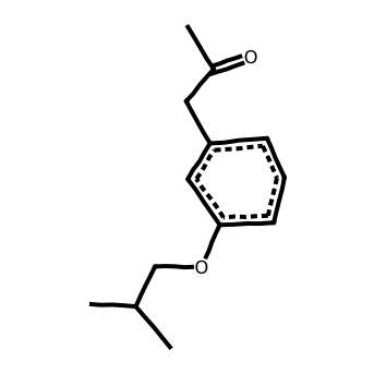 CC(=O)Cc1cccc(OCC(C)C)c1